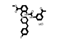 COC(=O)c1cccc(NC(=O)Nc2cccc(C(C)=O)c2)c1CN1CCC(Cc2ccc(F)cc2)CC1.Cl